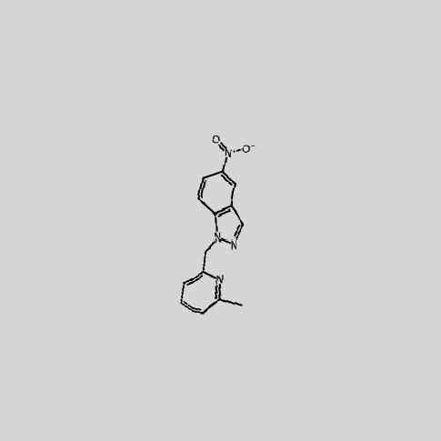 Cc1cccc(Cn2ncc3cc([N+](=O)[O-])ccc32)n1